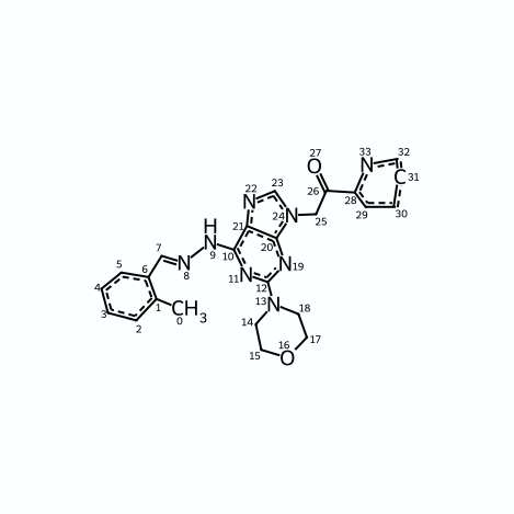 Cc1ccccc1/C=N/Nc1nc(N2CCOCC2)nc2c1ncn2CC(=O)c1ccccn1